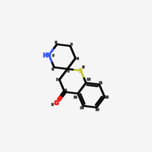 O=C1CC2(CCCNC2)Sc2ccccc21